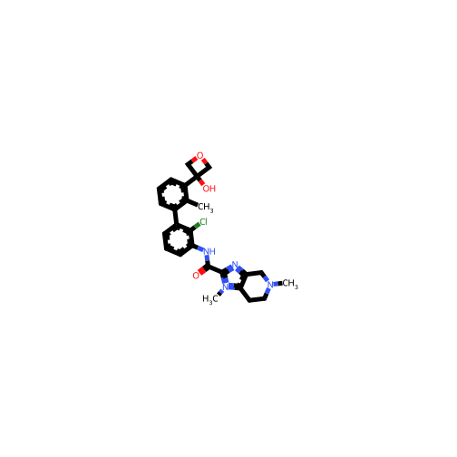 Cc1c(-c2cccc(NC(=O)c3nc4c(n3C)CCN(C)C4)c2Cl)cccc1C1(O)COC1